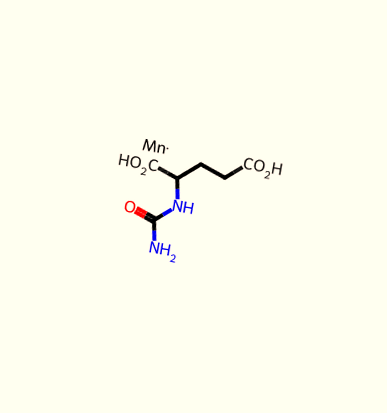 NC(=O)NC(CCC(=O)O)C(=O)O.[Mn]